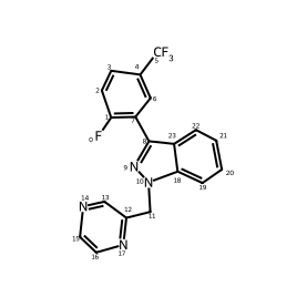 Fc1ccc(C(F)(F)F)cc1-c1nn(Cc2cnccn2)c2ccccc12